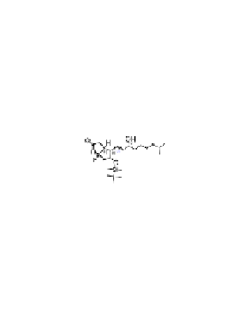 CC(C)CCCC[C@H](O)/C=C/[C@H]1C(O[Si](C)(C)C(C)(C)C)C[C@@H]2OC(=O)C[C@@H]21